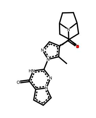 Cc1c(C(=O)N2C3CCC2CC(F)(F)C3)cnn1-c1nn2cccc2c(=O)[nH]1